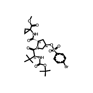 COC(=O)C1(NC(=O)[C@@H]2C[C@@H](OS(=O)(=O)c3ccc(Br)cc3)CN2C(=O)[C@@H](NC(=O)OC(C)(C)C)C(C)(C)C)CC1